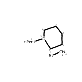 CCC.CCCCCN1CCCCC1